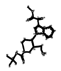 COC(=O)C(=O)c1cn(C2CCN(C(=O)OC(C)(C)C)CC2CO)c2ccccc12